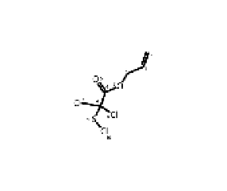 C=CCOC(=O)C(Cl)(Cl)SCl